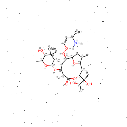 CC[C@@H](O)[C@@](C)(O)[C@@H]1OC(=O)[C@H](C)[C@@H](O[C@H]2CC(C)(OC)[C@@H](O)C(C)O2)[C@H](C)[C@@H](OO/C=C\C(C=O)N(C)C)[C@@]2(C)CC(C)C(O2)[C@@H]1C